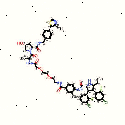 COc1cc(C(=O)NCCOCCOCC(=O)N[C@H](C(=O)N2C[C@H](O)C[C@H]2C(=O)NCc2ccc(-c3scnc3C)cc2)C(C)(C)C)ccc1NC(=O)[C@@H]1NC(CC(C)(C)C)C(c2ccc(Cl)cc2F)C1c1cccc(Cl)c1F